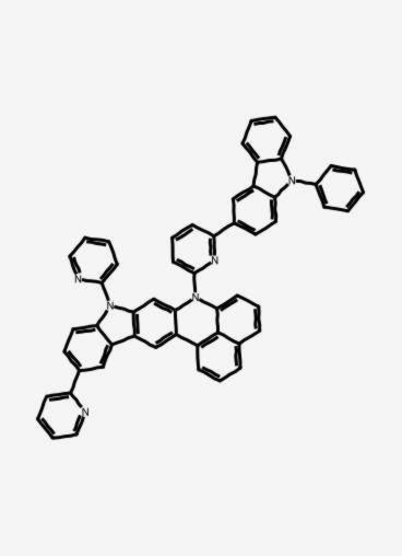 c1ccc(-n2c3ccccc3c3cc(-c4cccc(N5c6cc7c(cc6-c6cccc8cccc5c68)c5cc(-c6ccccn6)ccc5n7-c5ccccn5)n4)ccc32)cc1